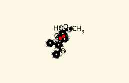 CCOC(=O)c1ccc(S(=O)(=O)Oc2c(-c3ccccc3)cc(C(=O)c3ccccc3)cc2-c2ccccc2)cc1O